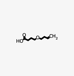 C=CCCOCCCC(=O)O